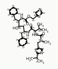 CC(C)c1ncc(CN(C)C(=O)N[C@H](C(=O)N[C@@H](Cc2ccccc2)C[C@H](O)C(Cc2ccccc2)NC(=O)OCc2cncs2)C(C)C)s1